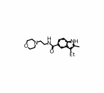 CCc1c(C)[nH]c2ccc(C(=O)NCCN3CCOCC3)cc12